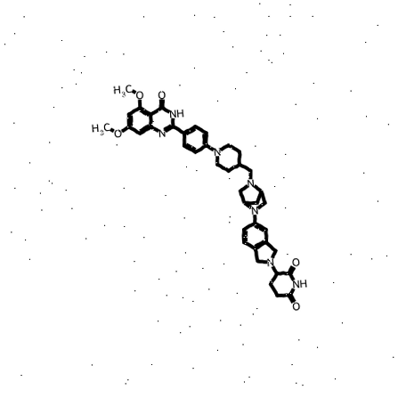 COc1cc(OC)c2c(=O)[nH]c(-c3ccc(N4CCC(CN5CC6CC5CN6c5ccc6c(c5)CN(C5CCC(=O)NC5=O)C6)CC4)cc3)nc2c1